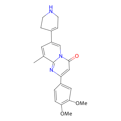 COc1ccc(-c2cc(=O)n3cc(C4=CCNCC4)cc(C)c3n2)cc1OC